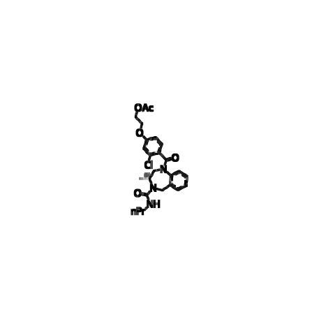 CCCNC(=O)N1Cc2ccccc2N(C(=O)c2ccc(OCCOC(C)=O)cc2Cl)C[C@H]1C